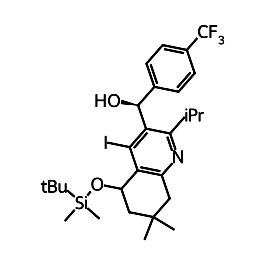 CC(C)c1nc2c(c(I)c1[C@@H](O)c1ccc(C(F)(F)F)cc1)C(O[Si](C)(C)C(C)(C)C)CC(C)(C)C2